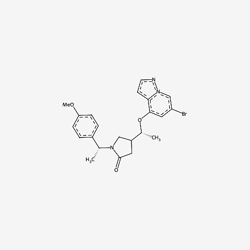 COc1ccc([C@@H](C)N2CC([C@@H](C)Oc3cc(Br)cn4nccc34)CC2=O)cc1